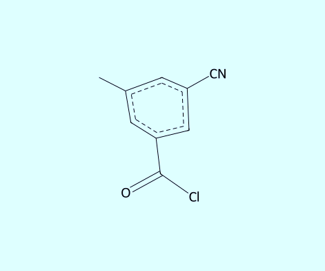 Cc1cc(C#N)cc(C(=O)Cl)c1